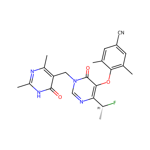 Cc1nc(C)c(Cn2cnc([C@@H](C)F)c(Oc3c(C)cc(C#N)cc3C)c2=O)c(=O)[nH]1